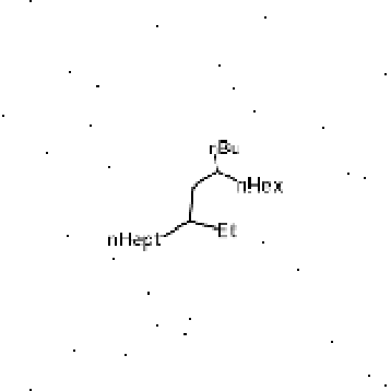 CCCCCCCC(CC)CC(CCCC)CCCCCC